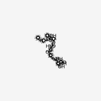 O=C(COc1cccc([C@](O)(C(=O)OCC2CCN(Cc3ccccc3)CC2)c2ccccc2)c1)N[C@H]1CCN(C(=O)c2ccc(CNC[C@H](O)c3ccc(O)c4[nH]c(=O)ccc34)cc2)C1